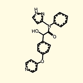 O=C(C(O)c1ccc(Oc2ccncc2)cc1)N(c1ccccc1)c1cc[nH]n1